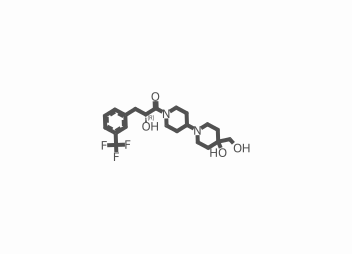 O=C([C@H](O)Cc1cccc(C(F)(F)F)c1)N1CCC(N2CCC(O)(CO)CC2)CC1